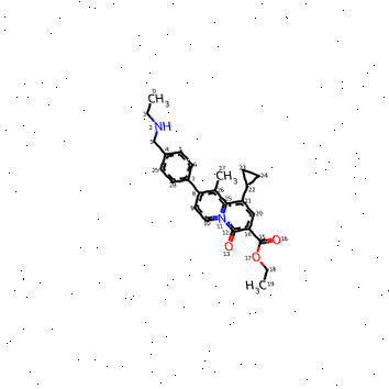 CCNCc1ccc(-c2ccn3c(=O)c(C(=O)OCC)cc(C4CC4)c3c2C)cc1